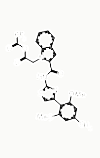 COc1cc(C)cc(OC)c1-c1csc(NC(=O)c2cc3ccccc3n2CC(=O)OC(=O)C(F)(F)F)n1